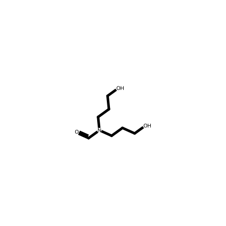 O=[C]N(CCCO)CCCO